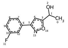 CC(O)c1cc(-c2cccc(F)c2)no1